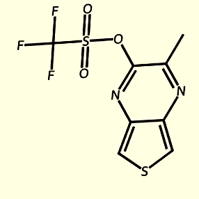 Cc1nc2cscc2nc1OS(=O)(=O)C(F)(F)F